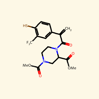 C=C(C(=O)N1CCN(C(=O)OC)CC1C(=O)OC)c1ccc(S)c(C(F)(F)F)c1